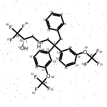 O[C@@H](CNCC(Cc1ccccc1)(c1cccc(OC(F)(F)F)c1)c1cccc(OC(F)(F)F)c1)C(F)(F)F